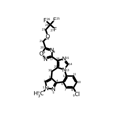 Cn1cc2c(n1)-c1cc(Cl)ccc1-n1cnc(-c3noc(COCC(F)(F)F)n3)c1C2